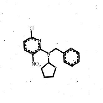 O=[N+]([O-])c1ccc(Cl)nc1N(Cc1ccccc1)C1CCCC1